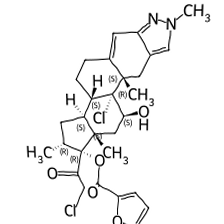 C[C@@H]1C[C@H]2[C@@H]3CCC4=Cc5nn(C)cc5C[C@]4(C)[C@@]3(Cl)[C@@H](O)C[C@]2(C)[C@@]1(OC(=O)c1ccco1)C(=O)CCl